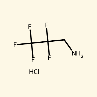 Cl.NCC(F)(F)C(F)(F)F